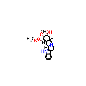 COOC[C@H]1[C@H]2C[C@@H]3c4[nH]c5ccccc5c4CCN3C[C@H]2C[C@@H](O)[C@@H]1OC